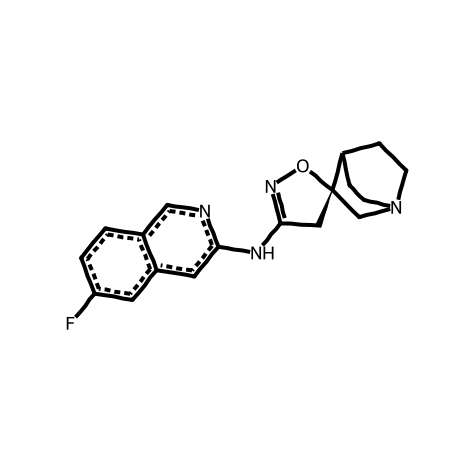 Fc1ccc2cnc(NC3=NO[C@@]4(C3)CN3CCC4CC3)cc2c1